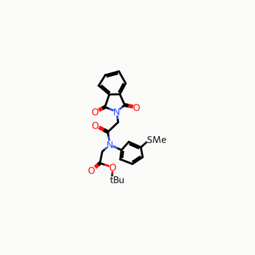 CSc1cccc(N(CC(=O)OC(C)(C)C)C(=O)CN2C(=O)c3ccccc3C2=O)c1